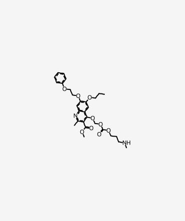 CCCOc1cc2c(OCOC(=O)OCCCNC)c(C(=O)OC)c(C)nc2cc1OCCOc1ccccc1